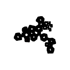 CC1(C)c2ccccc2-c2ccc(N(c3ccc(-c4cccc5c4oc4ccccc45)cc3)c3cccc4c3-c3ccccc3C43c4ccccc4N(c4ccccc4)c4ccccc43)cc21